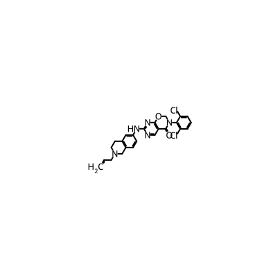 C=CCN1CCc2cc(Nc3ncc4c(n3)OCN(c3c(Cl)cccc3Cl)C4=O)ccc2C1